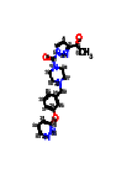 CC(=O)c1ccn(C(=O)N2CCN(Cc3cccc(Oc4cccnn4)c3)CC2)n1